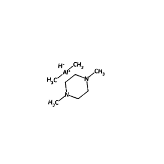 CN1CCN(C)CC1.[CH3][Al+][CH3].[H-]